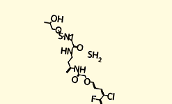 C=C(CCNC(=O)C1CN1SOCC(C)O)NC(=O)CO/C=C/C=C(/Cl)C(=C)F.S